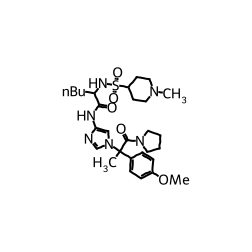 CCCCC(NS(=O)(=O)C1CCN(C)CC1)C(=O)Nc1cn(C(C)(C(=O)N2CCCC2)c2ccc(OC)cc2)cn1